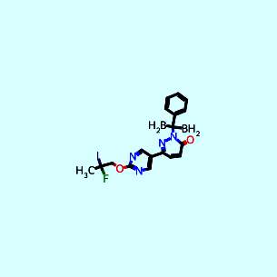 BC(B)(c1ccccc1)n1nc(-c2cnc(OCC(C)(F)I)nc2)ccc1=O